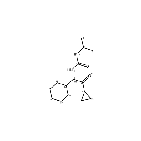 CC(C)NC(=O)N[C@H](C(=O)C1CC1)C1CCCCC1